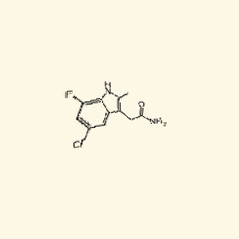 Cc1[nH]c2c(F)cc(Cl)cc2c1CC(N)=O